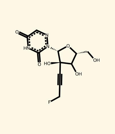 O=c1cnn([C@@H]2O[C@H](CO)C(O)[C@]2(O)C#CCF)c(=O)[nH]1